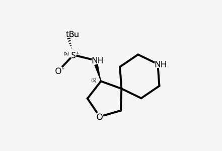 CC(C)(C)[S@@+]([O-])N[C@@H]1COCC12CCNCC2